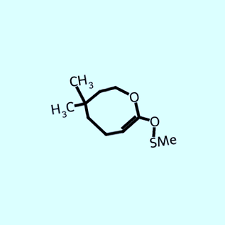 CSO/C1=C/CCC(C)(C)CCO1